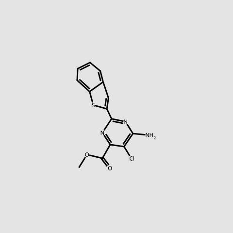 COC(=O)c1nc(-c2cc3ccccc3s2)nc(N)c1Cl